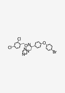 Clc1ccc(CON=C(Cn2cncn2)c2ccc(Oc3ccc(Br)cc3)cc2)c(Cl)c1